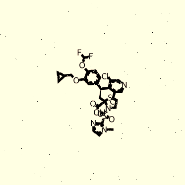 Cn1ccnc1S(=O)(=O)N1CCSC1(C[C@@H](c1ccc(OC(F)F)c(OCC2CC2)c1)c1c(Cl)cncc1Cl)C(=O)O